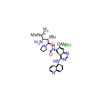 CN[C@@H](C)C(N)[C@@H](C(=O)N1CCC[C@H]1C(=O)Nc1cc2c(Nc3cccc4ncccc34)ncnc2cc1OC)C(C)(C)C.Cl